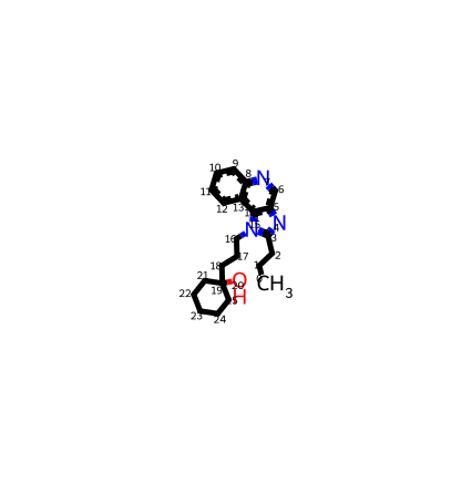 CCCc1nc2cnc3ccccc3c2n1CCCC1(O)CCCCC1